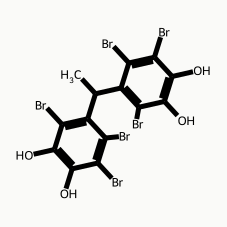 CC(c1c(Br)c(O)c(O)c(Br)c1Br)c1c(Br)c(O)c(O)c(Br)c1Br